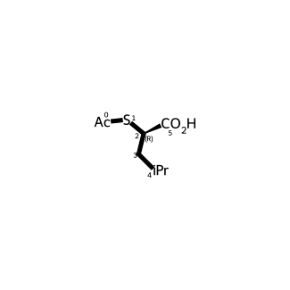 CC(=O)S[C@H](CC(C)C)C(=O)O